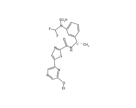 CCOc1cncc(-c2cnc(C(=O)N[C@@H](C)c3cccc(N(C(F)F)S(=O)(=O)O)c3)s2)n1